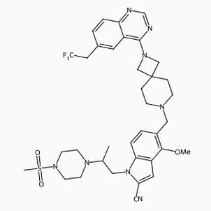 COc1c(CN2CCC3(CC2)CN(c2ncnc4ccc(CC(F)(F)F)cc24)C3)ccc2c1cc(C#N)n2CC(C)N1CCN(S(C)(=O)=O)CC1